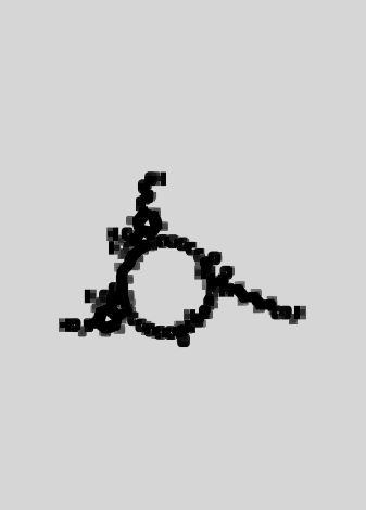 CC1(C)C2=[N+](CCCCCC(=O)NC(C(=O)NCCCCCC(=O)O)CCCCNC(=O)CCCCCN3/C(=C/C=C/C=C/2)C(C)(C)c2cc(S(=O)(=O)O)ccc23)c2ccc(SOOO)cc21